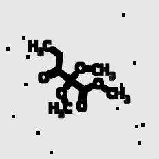 CCC(=O)C(OC)(OC)C(=O)OC